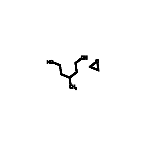 C1CO1.CC(CCO)CCO